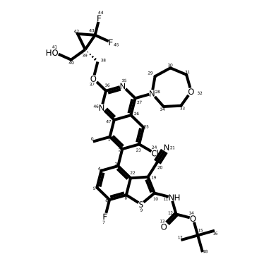 Cc1c(-c2ccc(F)c3sc(NC(=O)OC(C)(C)C)c(C#N)c23)c(Cl)cc2c(N3CCCOCC3)nc(OC[C@]3(CO)CC3(F)F)nc12